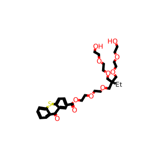 CCC(COCCOCCO)(COCCOCCO)COCCOCCOC(=O)c1ccc2sc3ccccc3c(=O)c2c1